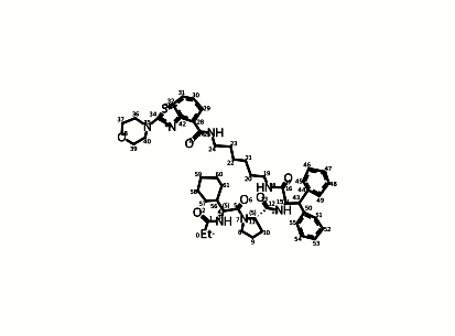 C[CH]C(=O)N[C@H](C(=O)N1CCC[C@H]1C(=O)N[C@H](C(=O)NCCCCCCNC(=O)c1cccc2sc(N3CCOCC3)nc12)C(c1ccccc1)c1ccccc1)C1CCCCC1